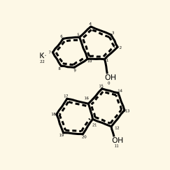 Oc1cccc2ccccc12.Oc1cccc2ccccc12.[K]